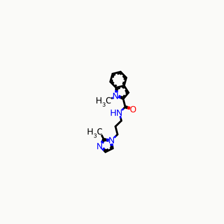 Cc1nccn1CCCNC(=O)c1cc2ccccc2n1C